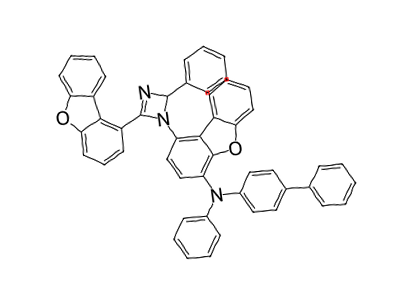 c1ccc(-c2ccc(N(c3ccccc3)c3ccc(N4C(c5cccc6oc7ccccc7c56)=NC4c4ccccc4)c4c3oc3ccccc34)cc2)cc1